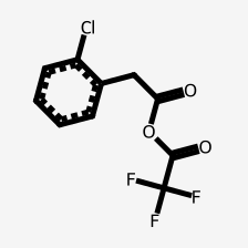 O=C(Cc1ccccc1Cl)OC(=O)C(F)(F)F